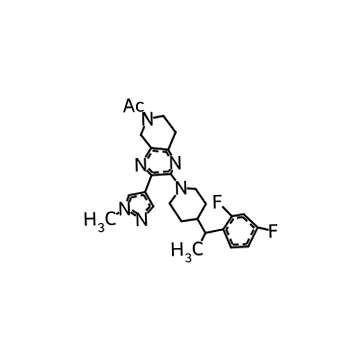 CC(=O)N1CCc2nc(N3CCC(C(C)c4ccc(F)cc4F)CC3)c(-c3cnn(C)c3)nc2C1